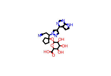 N#CCC(n1cc(-c2ncnc3[nH]ccc23)cn1)C1(OC2OC(C(=O)O)C(O)C(O)C2O)CCCC1